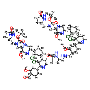 COc1cc(-c2nccc(-c3cccc(-c4cnc(CN(C[C@@H]5CCC(=O)N5)C(=O)OC(C)(C)C)c(OC)n4)c3Cl)c2Cl)ccc1C=O.COc1cc(-c2nccc(-c3cccc(-c4cnc(CN(C[C@@H]5CCC(=O)N5)C(=O)OC(C)(C)C)c(OC)n4)c3Cl)c2Cl)ccc1CNC[C@@H]1CCC(=O)N1